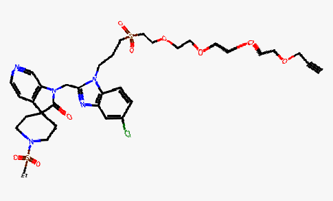 C#CCOCCOCCOCCOCCS(=O)(=O)CCCn1c(CN2C(=O)C3(CCN(S(=O)(=O)CC)CC3)c3ccncc32)nc2cc(Cl)ccc21